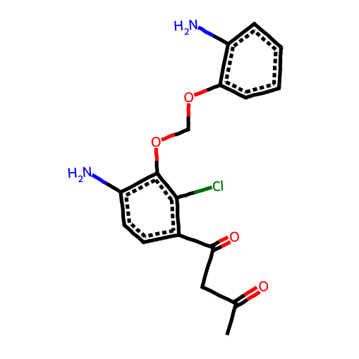 CC(=O)CC(=O)c1ccc(N)c(OCOc2ccccc2N)c1Cl